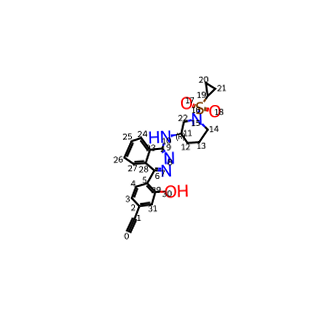 C#Cc1ccc(-c2nnc(N[C@@H]3CCCN(S(=O)(=O)C4CC4)C3)c3ccccc23)c(O)c1